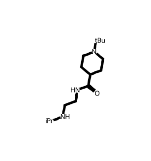 CC(C)NCCNC(=O)C1CCN(C(C)(C)C)CC1